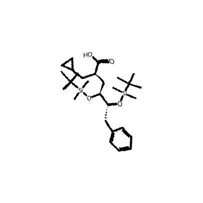 CC(C)(C)[Si](C)(C)O[C@@H](C[C@@H](CC1CC1)C(=O)O)[C@@H](Cc1ccccc1)O[Si](C)(C)C(C)(C)C